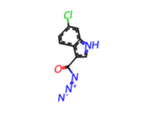 [N-]=[N+]=NC(=O)c1c[nH]c2cc(Cl)ccc12